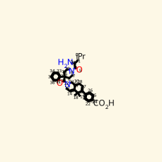 CC(C)C[C@H](N)C(=O)N1CCC(C(=O)N2CC=C3C(C)(C)C(c4ccc(C(=O)O)cc4)=CC[C@]3(C)C2)(c2ccccc2)CC1